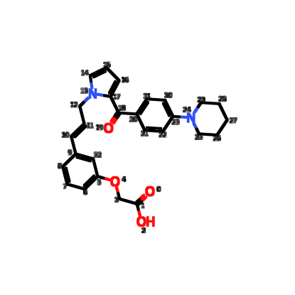 O=C(O)COc1cccc(/C=C/Cn2cccc2C(=O)c2ccc(N3CCCCC3)cc2)c1